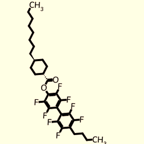 CCCCCCCC[C@H]1CC[C@H](C(=O)Oc2c(F)c(F)c(-c3c(F)c(F)c(CCCC)c(F)c3F)c(F)c2F)CC1